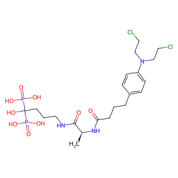 C[C@H](NC(=O)CCCc1ccc(N(CCCl)CCCl)cc1)C(=O)NCCCC(O)(P(=O)(O)O)P(=O)(O)O